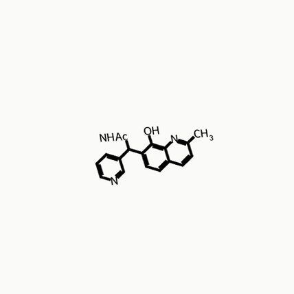 CC(=O)NC(c1cccnc1)c1ccc2ccc(C)nc2c1O